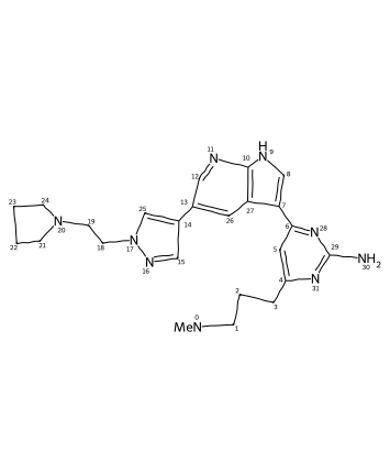 CNCCCc1cc(-c2c[nH]c3ncc(-c4cnn(CCN5CCCC5)c4)cc23)nc(N)n1